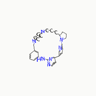 c1cc2cc(c1)Nc1nccc(n1)-c1ccc(nc1)N1CCCC1CCCN1CCN(CC1)C2